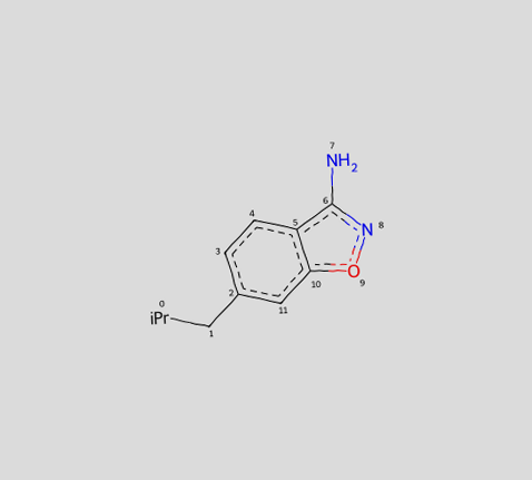 CC(C)Cc1ccc2c(N)noc2c1